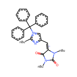 CCCCc1nc(/C=C2\C(=O)N(CCCC)C(=O)N2CCCC)cn1C(c1ccccc1)(c1ccccc1)c1ccccc1